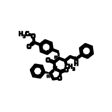 COC(=O)c1ccc(C[C@@H](C(=O)N2C(=O)OC[C@@H]2c2ccccc2)C(C)CNc2ccccc2)cc1